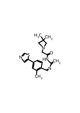 C=C(/N=C\c1ccc(-c2cncs2)cc1C)NC(=O)CN1CC(C)(C)C1